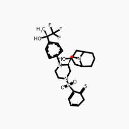 C[C@](O)(c1ccc(N2CCN(S(=O)(=O)C3=CC=CCC3=S)C[C@@H]2CN2C3CCCC2CC(O)C3)cc1)C(F)(F)F